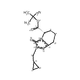 CCCC(C)(C)OC(=O)[C@@H]1CCCc2nn(CC3CC3)c(=O)n21